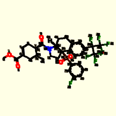 COC(=O)C1=CC[C@@H](C(=O)N2CC[C@@]3(S(=O)(=O)c4cccc(F)c4)c4ccc(C(F)(C(F)(F)F)C(F)(F)F)cc4CC[C@@H]23)[C@@H](C)C1